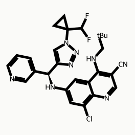 CC(C)(C)CNc1c(C#N)cnc2c(Cl)cc(N[C@@H](c3cccnc3)c3cn(C4(C(F)F)CC4)nn3)cc12